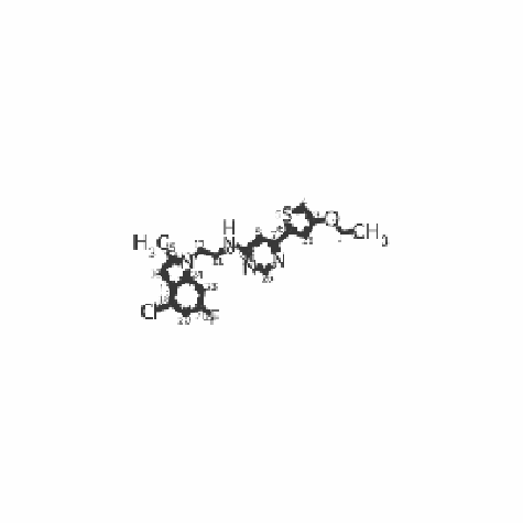 CCOc1csc(-c2cc(NCCn3c(C)cc4c(Cl)cc(F)cc43)ncn2)c1